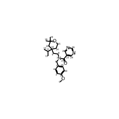 COc1ccc(CN(CCC2(C(C)C)CCOC(C)(C)C2)C(=O)c2cncnc2)cc1